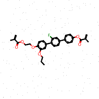 C=C(C)C(=O)OCCOc1ccc(-c2ccc(-c3ccc(OC(=O)C(=C)C)cc3)cc2F)cc1OCCC